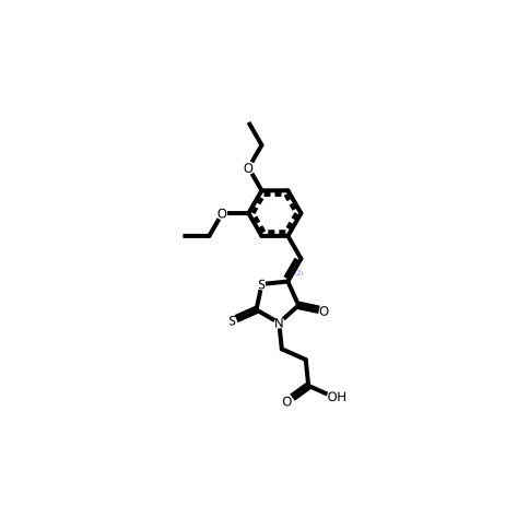 CCOc1ccc(/C=C2\SC(=S)N(CCC(=O)O)C2=O)cc1OCC